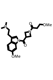 COCCC(=O)N1CC(C(=O)n2cc(CCN(C)C)c3ccc(OC)cc32)C1